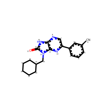 N#Cc1cccc(-c2cnc3[nH]c(=O)n(CC4CCCCC4)c3n2)c1